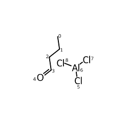 CCCC=O.[Cl][Al]([Cl])[Cl]